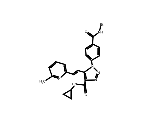 CCNC(=O)c1ccc(-n2nnc(C(=O)NC3CC3)c2C=Cc2cccc(C)n2)cc1